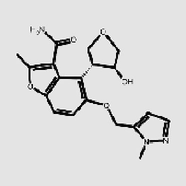 Cc1oc2ccc(OCc3ccnn3C)c([C@@H]3COC[C@H]3O)c2c1C(N)=O